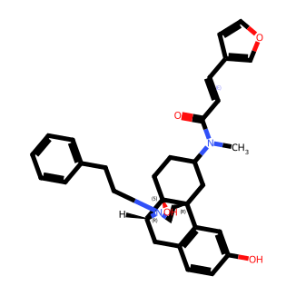 CN(C(=O)/C=C/c1ccoc1)C1CC[C@@]2(O)[C@H]3Cc4ccc(O)cc4[C@@]2(CCN3CCc2ccccc2)C1